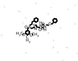 COc1cc(C(=O)N(CCCc2ccccc2)Cc2nc(C(=O)NS(=O)(=O)NCCOCc3ccccc3)cs2)cc(OC)c1C